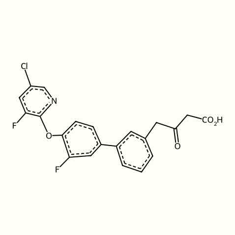 O=C(O)CC(=O)Cc1cccc(-c2ccc(Oc3ncc(Cl)cc3F)c(F)c2)c1